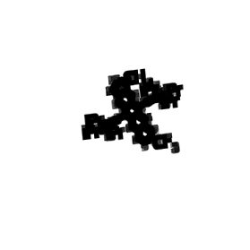 CC(C)[Si](C#Cc1c2cc3ccc(C(F)(F)F)cc3cc2c(C#C[Si](C(C)C)(C(C)C)C(C)C)c2cc3c(ccn3C)cc12)(C(C)C)C(C)C